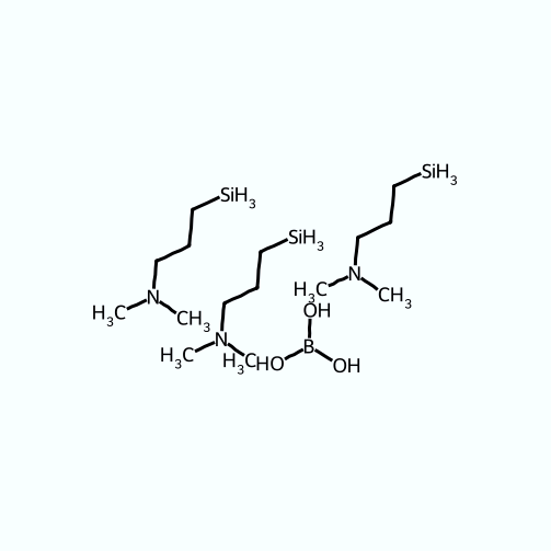 CN(C)CCC[SiH3].CN(C)CCC[SiH3].CN(C)CCC[SiH3].OB(O)O